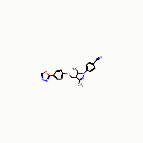 CC1=NN(c2ccc(C#N)cc2)C(C)C1COc1ccc(-c2nnco2)cc1